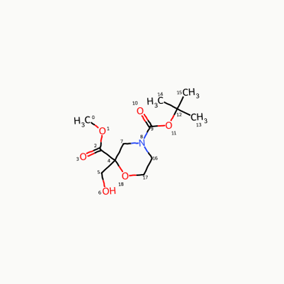 COC(=O)C1(CO)CN(C(=O)OC(C)(C)C)CCO1